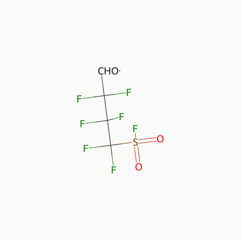 O=[C]C(F)(F)C(F)(F)C(F)(F)S(=O)(=O)F